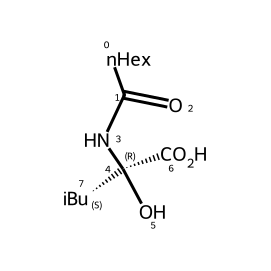 CCCCCCC(=O)N[C@](O)(C(=O)O)[C@@H](C)CC